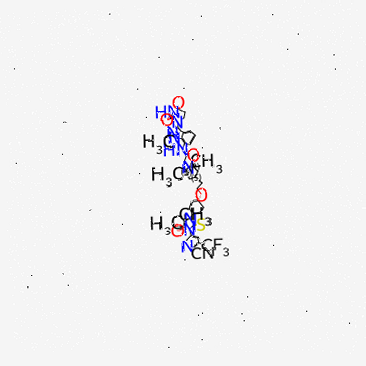 C[C@@H]1C[C@@H](CCO[C@H]2CC[C@H](N3C(=S)N(c4cnc(C#N)c(C(F)(F)F)c4)C(=O)C3(C)C)CC2)C[C@H](C)N1CC(=O)Nc1cccc2c(N3CCC(=O)NC3=O)nn(C)c12